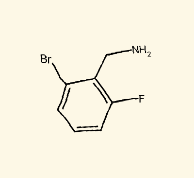 NCc1c(F)cccc1Br